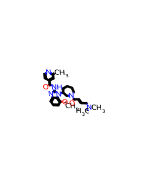 COc1cccc2nc(NC(=O)c3ccnc(C)c3)n(C3CCCCN(C(=O)C=CCN(C)C)C3)c12